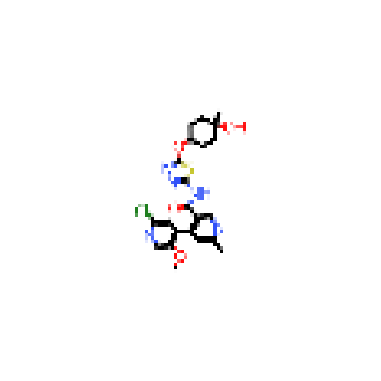 COc1cnc(Cl)cc1-c1cc(C)ncc1C(=O)Nc1nnc(OC2CCC(C)(O)CC2)s1